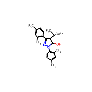 COC(C1C(c2ccc(C(F)(F)F)cc2C(F)(F)F)=NN(c2ccc(C(F)(F)F)cc2C(F)(F)F)C1O)C(F)(F)F